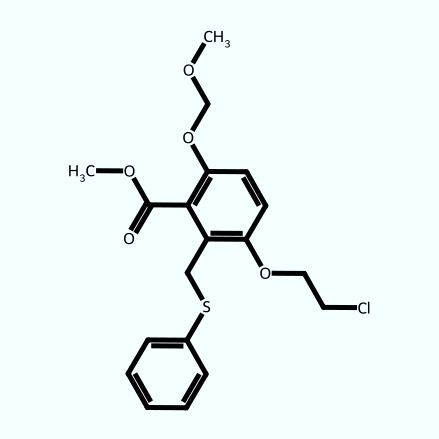 COCOc1ccc(OCCCl)c(CSc2ccccc2)c1C(=O)OC